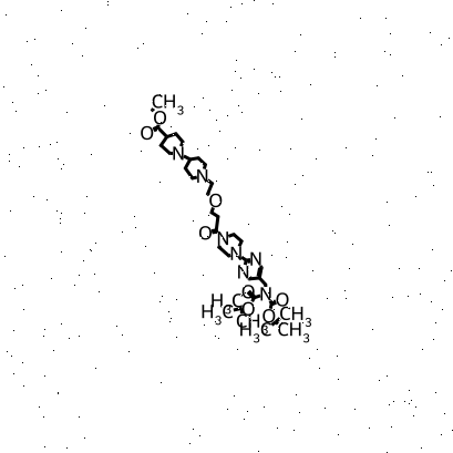 CCOC(=O)C1CCN(C2CCN(CCOCCC(=O)N3CCN(c4ncc(CN(C(=O)OC(C)(C)C)C(=O)OC(C)(C)C)cn4)CC3)CC2)CC1